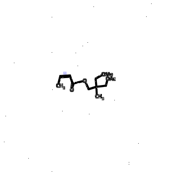 C/C=C\C(=O)OCC(C)(COC)COC(C)=O